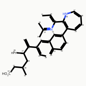 C=C(C(/C=c1/cc(C2=C(/C(=C/C)N=C(C)C)NC=CC=C2)ccc1=C)=C/C)C(CCC)CC(C)CC(=O)O